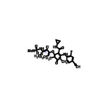 C#Cc1ccc(Nc2c(C(=O)NC3CC3)c(OC(=C/C)/C(Cl)=C(\N=C)NS(=O)(=O)NC)c(C)c(=O)n2C)c(F)c1